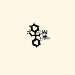 ClCC(CCl)(c1ccccc1)c1ccccc1.N=C=O.N=C=O